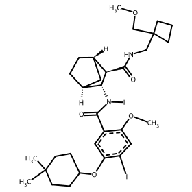 COCC1(CNC(=O)[C@@H]2[C@H]3CC[C@@H](C3)[C@H]2N(I)C(=O)c2cc(OC3CCC(C)(C)CC3)c(I)cc2OC)CCC1